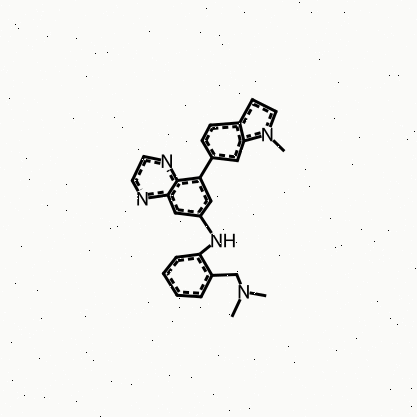 CN(C)Cc1ccccc1Nc1cc(-c2ccc3ccn(C)c3c2)c2nccnc2c1